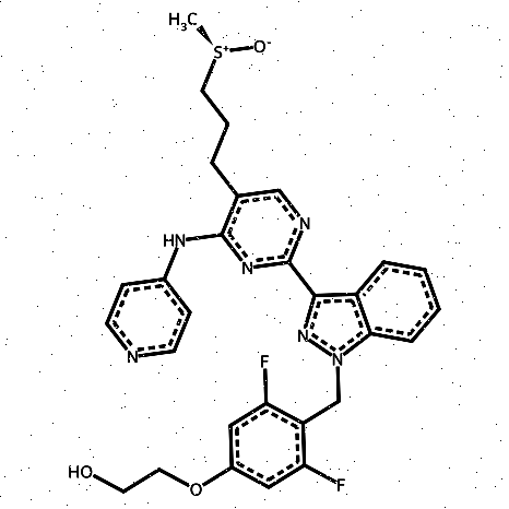 C[S@@+]([O-])CCCc1cnc(-c2nn(Cc3c(F)cc(OCCO)cc3F)c3ccccc23)nc1Nc1ccncc1